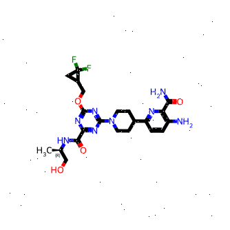 C[C@H](CO)NC(=O)c1nc(OCC2CC2(F)F)nc(N2CCC(c3ccc(N)c(C(N)=O)n3)CC2)n1